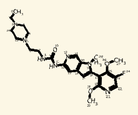 CCN1CCN(CCNC(=O)Nc2cc3cc(-c4c(OC)ncc(F)c4OC)n(C)c3cn2)CC1